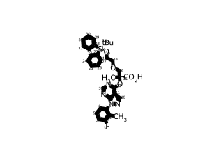 Cc1c(F)cccc1-n1ncc2c(O[C@@](C)(COCCO[Si](c3ccccc3)(c3ccccc3)C(C)(C)C)C(=O)O)ncnc21